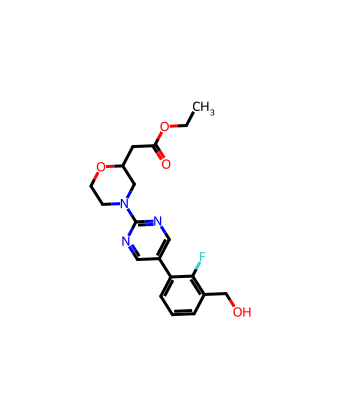 CCOC(=O)CC1CN(c2ncc(-c3cccc(CO)c3F)cn2)CCO1